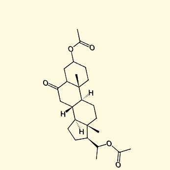 CC(=O)OC1CC[C@@]2(C)C(C1)C(=O)C[C@H]1[C@@H]3CC[C@H](C(C)OC(C)=O)[C@@]3(C)CC[C@@H]12